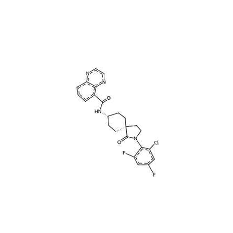 O=C(N[C@H]1CC[C@@]2(CCN(c3c(F)cc(F)cc3Cl)C2=O)CC1)c1cccc2nccnc12